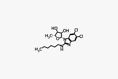 CCCCCCNc1nc2cc(Cl)c(Cl)cc2n1[C@@H]1O[C@H](C)[C@@H](O)[C@H]1O